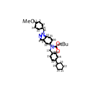 COc1ccc(Cn2ncc3cc(N(Cc4ccc(C5CCCCC5)cc4)C(=O)OC(C)(C)C)ccc32)cc1